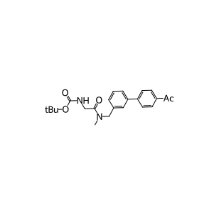 CC(=O)c1ccc(-c2cccc(CN(C)C(=O)CNC(=O)OC(C)(C)C)c2)cc1